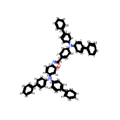 c1ccc(-c2ccc(N(c3ccc(-c4ccccc4)cc3)c3ccc(-c4nc5ccc(N(c6ccc(-c7ccccc7)cc6)c6ccc(-c7ccccc7)cc6)cc5o4)cc3)cc2)cc1